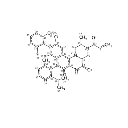 C=CC(=O)N1CC2C(=O)Nc3c(c4cc(Cl)c(-c5c(O)cccc5F)c(F)c4n(-c4c(C)ccnc4C(C)C)c3=O)N2CC1C